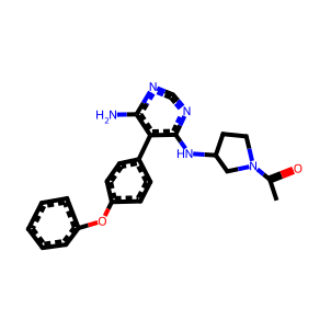 CC(=O)N1CCC(Nc2ncnc(N)c2-c2ccc(Oc3ccccc3)cc2)C1